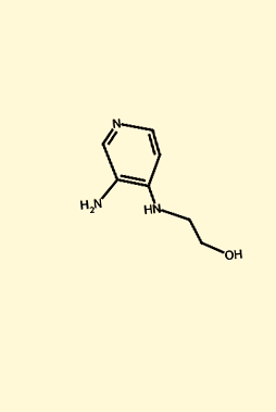 Nc1cnccc1NCCO